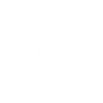 O=C(/C=C/c1ccco1)OC(OC(=O)/C=C/c1ccco1)c1ccccc1